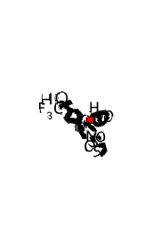 CC(O)(c1ccc(N2CCN(S(=O)(=O)c3cccs3)C[C@@H]2CN2C3COC[C@@H]2CC(=O)C3)cc1)C(F)(F)F